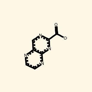 [O]C(=O)c1ncc2nccnc2n1